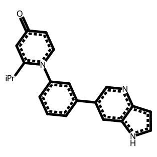 CC(C)c1cc(=O)ccn1-c1cccc(-c2cnc3cc[nH]c3c2)c1